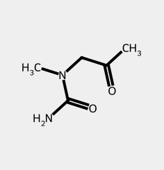 CC(=O)CN(C)C(N)=O